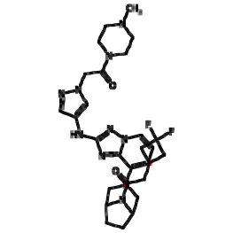 CN1CCN(C(=O)Cn2cc(Nc3nc4c(N5CC6CCC(C5)N6C(=O)CC5CC(F)(F)C5)cccn4n3)cn2)CC1